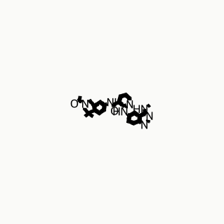 CNc1ncnc2ccc(Nc3ncccc3C(=O)Nc3ccc4c(c3)CN(C(C)=O)CC4(C)C)cc12